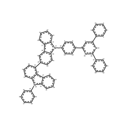 c1ccc(-c2cc(-c3ccc(-n4c5ccccc5c5cc(-c6cccc7c6c6ccccc6n7-c6ccccc6)ccc54)cc3)nc(-c3ccccc3)n2)cc1